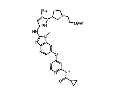 COCCN1CC[C@H](n2nc(Nc3nc4ncc(Oc5ccnc(NC(=O)C6CC6)c5)cc4n3C)cc2C(C)(C)C)C1